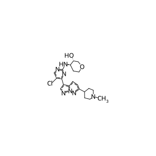 CN1CCC(c2ccc3c(-c4nc(N[C@@H]5CCOC[C@H]5O)ncc4Cl)cnn3n2)CC1